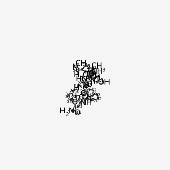 Cc1ncsc1-c1ccc([C@H](C)NC(=O)[C@@H]2C[C@@H](O)CN2C(=O)[C@@H](NC(=O)CCCCCc2cccc(OC[C@H](CCC(N)=O)NC(=O)[C@@H]3Cc4cccc5c4N3C(=O)[C@@H](C)CC5)c2F)C(C)(C)C)cc1